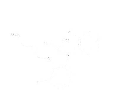 CNCCCN1c2c(F)cccc2N(c2ccccc2F)S1(O)O